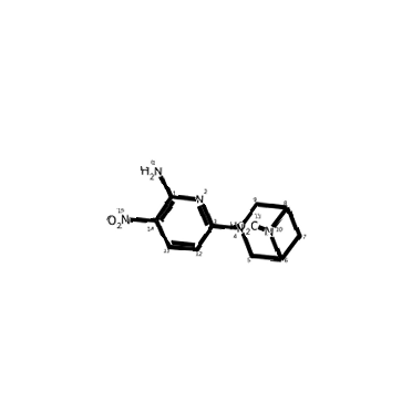 Nc1nc(N2CC3CC(C2)N3C(=O)O)ccc1[N+](=O)[O-]